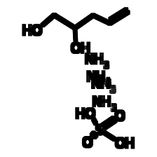 C=CCC(O)CO.N.N.N.N.O=S(=O)(O)O